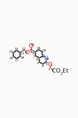 CCOC(=O)COc1ccc2cc(C(=O)OCc3ccccc3)ccc2n1